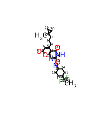 CC1(CCCc2cc(=O)oc3nc(ON=C4CCC(C(C)(F)F)CC4)[nH]c(=O)c23)CC1